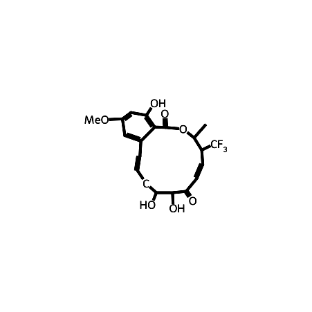 COc1cc(O)c2c(c1)/C=C/CC(O)C(O)C(=O)/C=C\C(C(F)(F)F)C(C)OC2=O